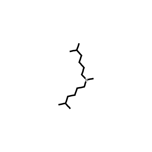 CC(C)CCCCN(C)CCCCC(C)C